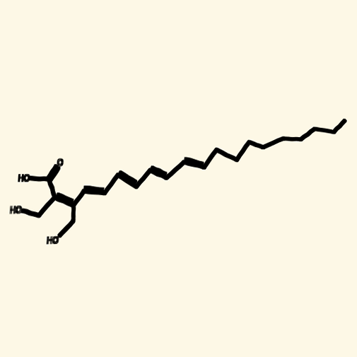 CCCCCCCCCC=CC=CC=CC=CC(CO)=C(CO)C(=O)O